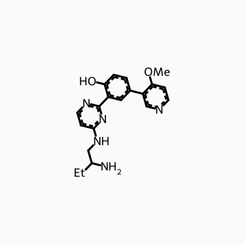 CCC(N)CNc1ccnc(-c2cc(-c3cnccc3OC)ccc2O)n1